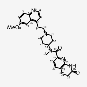 COc1ccc2nccc(CCN3CCC(N(C)C(=O)c4ccc5c(n4)NC(=O)CS5)CC3)c2c1